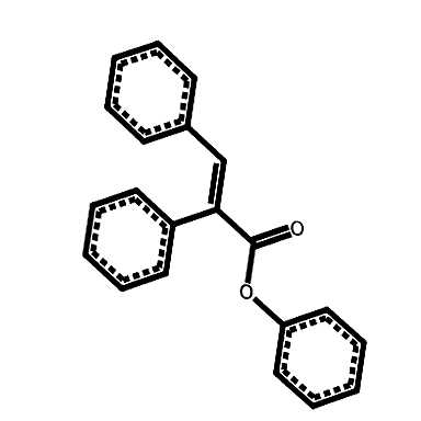 O=C(Oc1ccccc1)C(=Cc1ccccc1)c1ccccc1